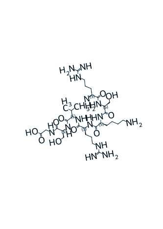 CC(C)[C@H](NC(=O)[C@H](CCCNC(=N)N)NC(=O)[C@H](CCCCN)NC(=O)[C@H](CO)NC(=O)[C@@H](N)CCCNC(=N)N)C(=O)N[C@@H](CO)C(=O)NCC(=O)O